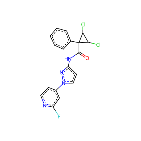 O=C(Nc1ccn(-c2ccnc(F)c2)n1)C1(c2ccccc2)C(Cl)C1Cl